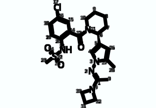 C/C(=N\n1cc([C@@H]2CCCCN2C(=O)c2cc(Cl)ccc2NS(C)(=O)=O)cc1C)N1CCC1